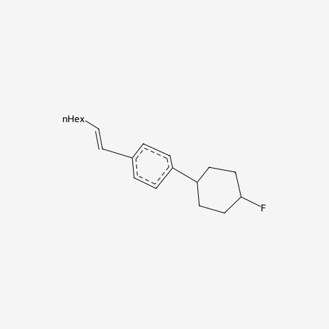 CCCCCCC=Cc1ccc(C2CCC(F)CC2)cc1